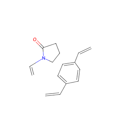 C=CN1CCCC1=O.C=Cc1ccc(C=C)cc1